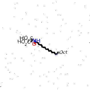 CCCCCCCC/C=C\CCCCCCCCCCCC(=O)NC(CC(=O)O)C(=O)O